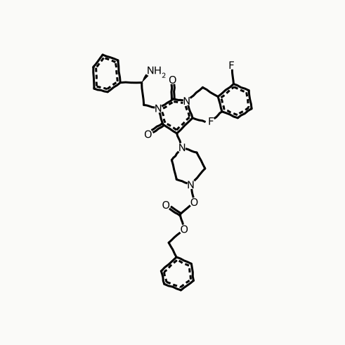 Cc1c(N2CCN(OC(=O)OCc3ccccc3)CC2)c(=O)n(C[C@H](N)c2ccccc2)c(=O)n1Cc1c(F)cccc1F